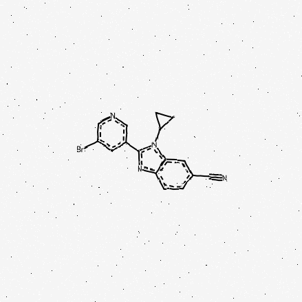 N#Cc1ccc2nc(-c3cncc(Br)c3)n(C3CC3)c2c1